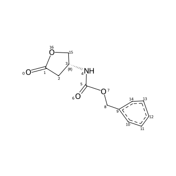 O=C1C[C@@H](NC(=O)OCc2ccccc2)CO1